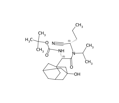 CCC[C@@H](C#N)N(C(=O)[C@@H](NC(=O)OC(C)(C)C)C12CC3CC(CC(O)(C3)C1)C2)C(C)C